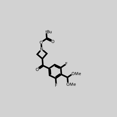 COC(OC)c1c(F)cc(C(=O)C2CN(OC(=O)C(C)(C)C)C2)cc1F